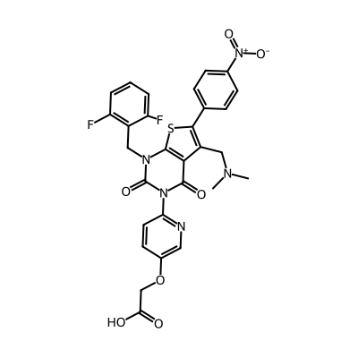 CN(C)Cc1c(-c2ccc([N+](=O)[O-])cc2)sc2c1c(=O)n(-c1ccc(OCC(=O)O)cn1)c(=O)n2Cc1c(F)cccc1F